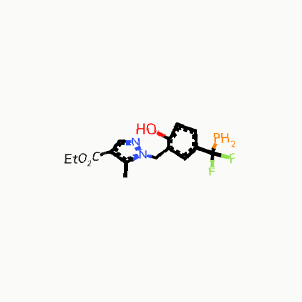 CCOC(=O)c1cnn(Cc2cc(C(F)(F)P)ccc2O)c1C